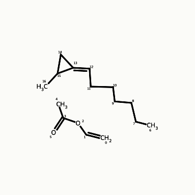 C=COC(C)=O.CCCCCCC=C1CC1C